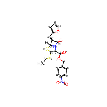 CCSC1=C(C(=O)OCc2ccc([N+](=O)[O-])cc2)N2C(=O)C(=Cc3ccco3)[C@H]2S1